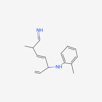 C=CC(C=CC(C)C=N)Nc1ccccc1C